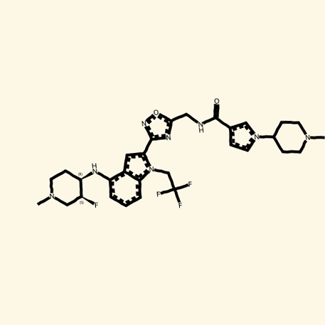 CN1CCC(n2ccc(C(=O)NCc3nc(-c4cc5c(N[C@@H]6CCN(C)C[C@@H]6F)cccc5n4CC(F)(F)F)no3)c2)CC1